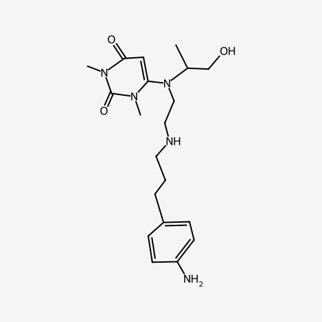 CC(CO)N(CCNCCCc1ccc(N)cc1)c1cc(=O)n(C)c(=O)n1C